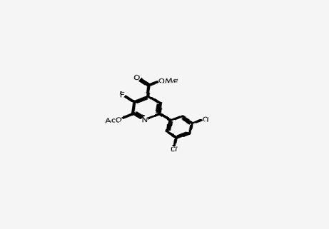 COC(=O)c1cc(-c2cc(Cl)cc(Cl)c2)nc(OC(C)=O)c1F